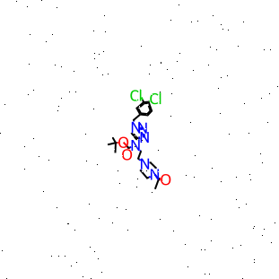 CC(=O)N1CCN(CCN(C(=O)OC(C)(C)C)c2cn(Cc3ccc(Cl)c(Cl)c3)nn2)CC1